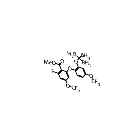 BC(B)(B)Oc1cc(OC(F)(F)F)ccc1Oc1cc(OC(F)(F)F)cc(F)c1C(=O)OC